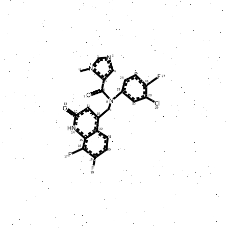 Cn1cncc1C(=O)N(Cc1cc(=O)[nH]c2c(F)c(F)ccc12)c1ccc(F)c(Cl)c1